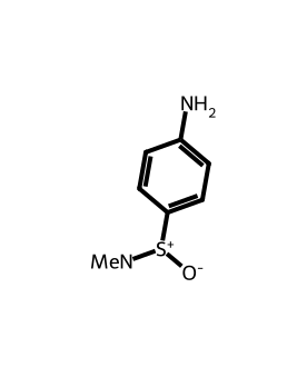 CN[S+]([O-])c1ccc(N)cc1